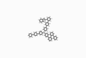 c1ccc(-c2ccc(-c3ccc(N(c4ccc(-c5ccc(-c6ccccc6-c6cc7ccccc7o6)cc5)cc4)c4ccc(-c5ccccc5-c5ccccc5-c5ccccc5)cc4)cc3)cc2)cc1